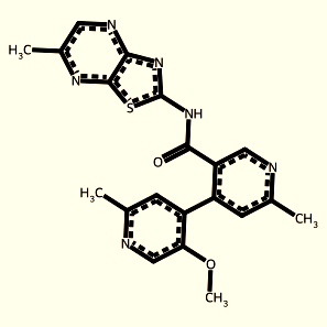 COc1cnc(C)cc1-c1cc(C)ncc1C(=O)Nc1nc2ncc(C)nc2s1